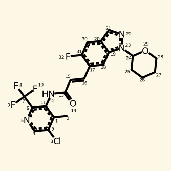 Cc1c(Cl)cnc(C(F)(F)F)c1NC(=O)/C=C/c1cc2c(cnn2C2CCCCO2)cc1F